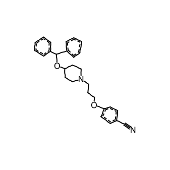 N#Cc1ccc(OCCCN2CCC(OC(c3ccccc3)c3ccccc3)CC2)cc1